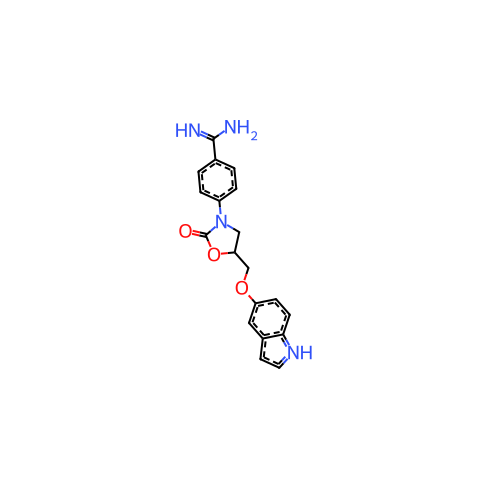 N=C(N)c1ccc(N2CC(COc3ccc4[nH]ccc4c3)OC2=O)cc1